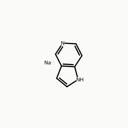 [Na].c1cc2[nH]ccc2cn1